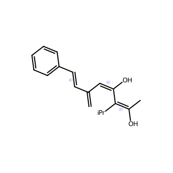 C=C(/C=C/c1ccccc1)/C=C(O)\C(=C(/C)O)C(C)C